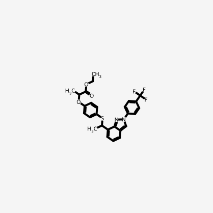 CCOC(=O)C(C)Oc1ccc(SC(C)c2cccc3cn(-c4ccc(C(F)(F)F)cc4)nc23)cc1